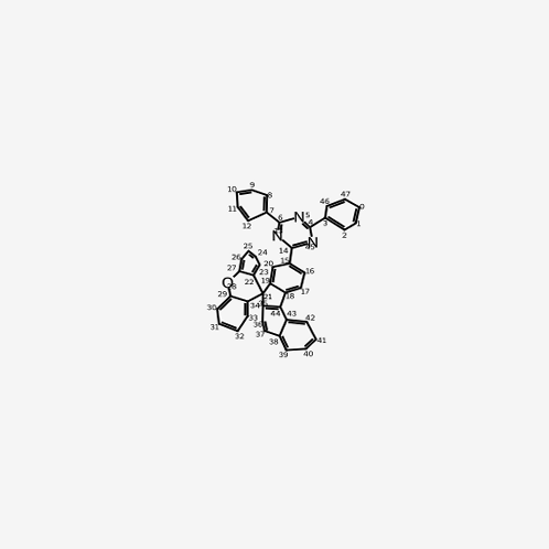 c1ccc(-c2nc(-c3ccccc3)nc(-c3ccc4c(c3)C3(c5ccccc5Oc5ccccc53)c3ccc5ccccc5c3-4)n2)cc1